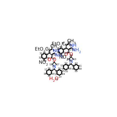 CCOC(=O)C1=C(C)NC(N)=C(C(=O)OC2CN(C(c3ccccc3)c3ccccc3)C2)C1c1cccc([N+](=O)[O-])c1.CCOC(=O)C1=C(C)NC(N)=C(C(=O)OC2CN(C(c3ccccc3)c3ccccc3)C2)C1c1cccc([N+](=O)[O-])c1.O